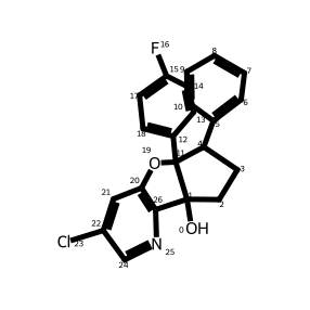 OC12CCC(c3ccccc3)C1(c1ccc(F)cc1)Oc1cc(Cl)cnc12